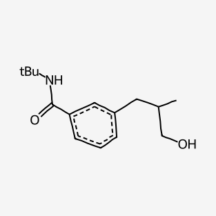 CC(CO)Cc1cccc(C(=O)NC(C)(C)C)c1